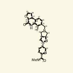 CNC(=O)c1ccc(-n2cc3c(n2)CN(Cc2ccc4c([nH]c(=O)c5occc54)c2F)C3)cn1